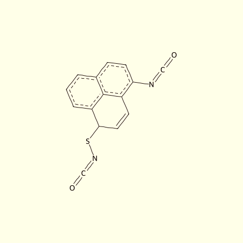 O=C=NSC1C=Cc2c(N=C=O)ccc3cccc1c23